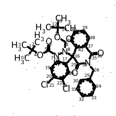 CC(C)(C)OC(=O)NN(C(=O)OC(C)(C)C)C1(c2ccc(Cl)c(Cl)c2)C(=O)N(Cc2ccccc2)C(=O)c2ccccc21